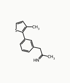 CC(=N)Cc1cccc(-c2sccc2C)c1